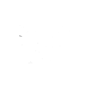 COc1ccc([C@]2(C#N)CC[C@@](C)(C(=O)O)CC2)cc1OCC1CC1